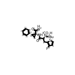 CC(C)(C)N(C(=O)O)C(Cc1sccc1F)C(=O)N[C@]1(C(N)=O)C[C@@H]1c1ccccc1